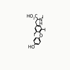 O=C(O)C(Cc1cc(I)c(Oc2ccc(O)cc2)c(I)c1)NI